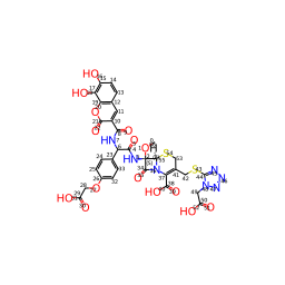 CO[C@@]1(NC(=O)C(NC(=O)c2cc3ccc(O)c(O)c3oc2=O)c2ccc(OCC(=O)O)cc2)C(=O)N2C(C(=O)O)=C(CSc3nnnn3CC(=O)O)CS[C@@H]21